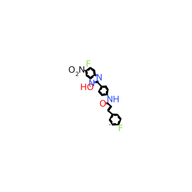 O=C(/C=C/c1c[c]c(F)cc1)Nc1ccc(-c2nc3cc(F)c([N+](=O)[O-])cc3n2O)cc1